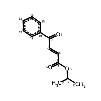 CC(C)OC(=O)C=CC(=O)c1ccccc1